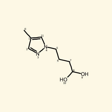 Cc1cnn(CCCC(O)O)c1